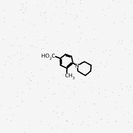 Cc1cc(C(=O)O)ccc1N1CCCCC1